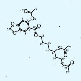 CC(=O)Oc1cc2c(cc1C(=O)OCCCCC(CCSC(C)=O)SC(C)=O)OCO2